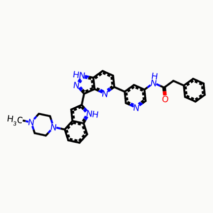 CN1CCN(c2cccc3[nH]c(-c4n[nH]c5ccc(-c6cncc(NC(=O)Cc7ccccc7)c6)nc45)cc23)CC1